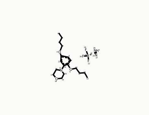 CCCCOc1ccc(OCCCC)c(N2CCOCC2)c1.F[B-](F)(F)F.N#[NH+]